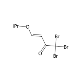 CC(C)OC=CC(=O)C(Br)(Br)Br